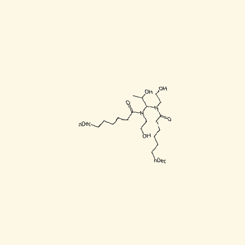 CCCCCCCCCCCCCCCC(=O)N(CCO)C(C(C)O)N(CCO)C(=O)CCCCCCCCCCCCCCC